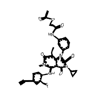 C#Cc1ccc(Nc2c3c(=O)n(C4CC4)c(=O)n(-c4cccc(NC(=O)COC(C)=O)c4)c3c(C)c(=O)n2C)c(F)c1